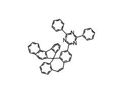 C1=Cc2ccc(-c3nc(-c4ccccc4)nc(-c4ccccc4)n3)cc2C2(c3ccccc31)c1ccccc1-c1c2ccc2ccccc12